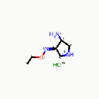 CCON=C1CNCC1N.Cl